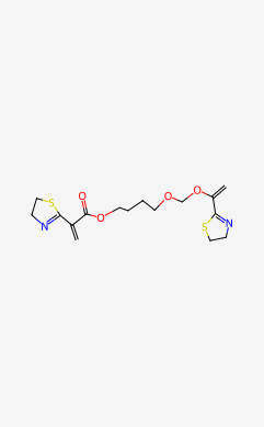 C=C(OCOCCCCOC(=O)C(=C)C1=NCCS1)C1=NCCS1